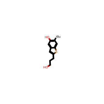 CC(C)(C)c1cc2sc(CCCO)cc2cc1O